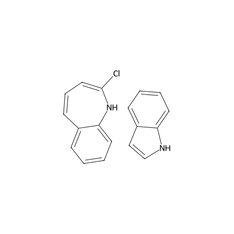 ClC1=CC=Cc2ccccc2N1.c1ccc2[nH]ccc2c1